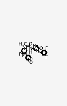 C[C@@H](C(=O)Nc1cnc(Oc2c(F)cc(F)cc2F)cn1)N1CCC(F)(F)[C@@H](c2cc[n+]([O-])cc2)C1